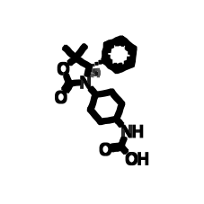 CC1(C)OC(=O)N(C2CCC(NC(=O)O)CC2)[C@H]1c1ccccc1